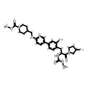 CC(C)OC(=O)N1CCC(COc2ccc(-c3ccc(CC(NC(=O)OC(C)(C)C)C(=O)N4CCC(F)C4)c(F)c3)cn2)CC1